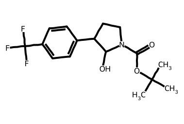 CC(C)(C)OC(=O)N1CCC(c2ccc(C(F)(F)F)cc2)C1O